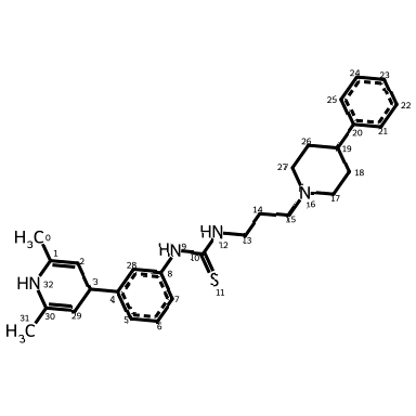 CC1=CC(c2cccc(NC(=S)NCCCN3CCC(c4ccccc4)CC3)c2)C=C(C)N1